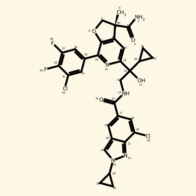 C[C@]1(C(N)=O)COc2c1cc(C(O)(CNC(=O)c1cc(Cl)c3nn(C4CC4)cc3c1)C1CC1)nc2-c1cc(F)c(F)c(Cl)c1